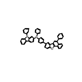 c1ccc(-c2cc3c4cc(-c5ccc(N(c6ccccc6)c6ccc7c8ccccc8n(-c8ccccc8)c7c6)cc5)ccc4oc3c3ccccc23)cc1